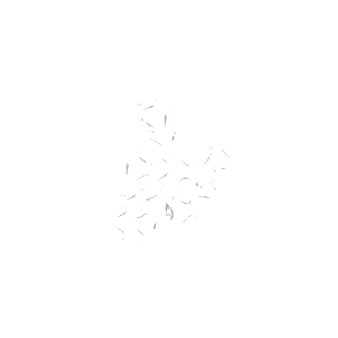 c1ccc(-c2ccc(-c3ccccc3)n2-c2ccc3c(-c4ccc5ccccc5c4)c4ccccc4c(-c4ccc5ccc6cccc7ccc4c5c67)c3c2)cc1